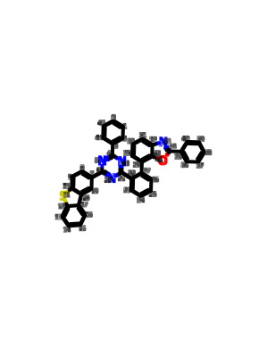 c1ccc(-c2nc(-c3ccc4sc5ccccc5c4c3)nc(-c3ccccc3-c3cccc4nc(-c5ccccc5)oc34)n2)cc1